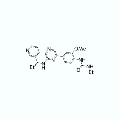 CCNC(=O)Nc1ccc(-c2cncc(N[C@@H](CC)c3cccnc3)n2)cc1OC